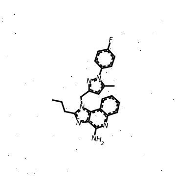 CCCc1nc2c(N)nc3ccccc3c2n1Cc1cc(C)n(-c2ccc(F)cc2)n1